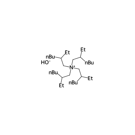 CCCCC(CC)C[N+](CC(CC)CCCC)(CC(CC)CCCC)CC(CC)CCCC.[OH-]